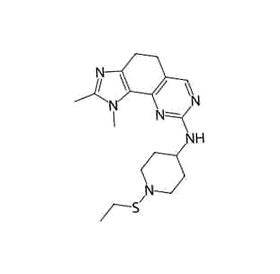 CCSN1CCC(Nc2ncc3c(n2)-c2c(nc(C)n2C)CC3)CC1